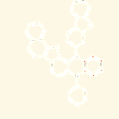 c1ccc(N(c2ccccc2)c2ccc3c(sc4c5ccccc5ccc34)c2N(c2ccccc2)c2ccc3c(c2)oc2ccccc23)cc1